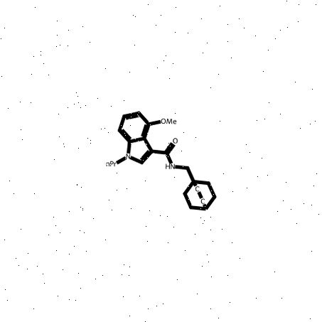 CCCn1cc(C(=O)NCC23CCC(CC2)CC3)c2c(OC)cccc21